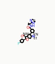 CCN(C#N)c1cc2oc(-c3ccc(F)cc3)c(C(=O)NC)c2cc1-c1cccc(C(=O)NC2(c3ncccn3)CC2)c1